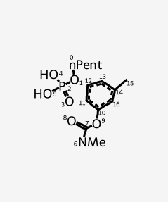 CCCCCOP(=O)(O)O.CNC(=O)Oc1cccc(C)c1